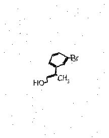 C/C(=C\CO)c1cccc(Br)c1